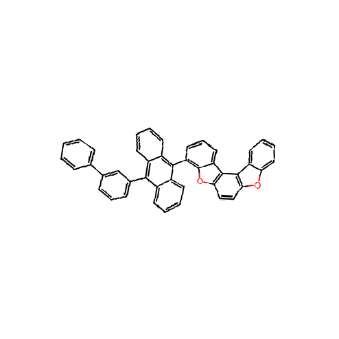 c1ccc(-c2cccc(-c3c4ccccc4c(-c4cccc5c4oc4ccc6oc7ccccc7c6c45)c4ccccc34)c2)cc1